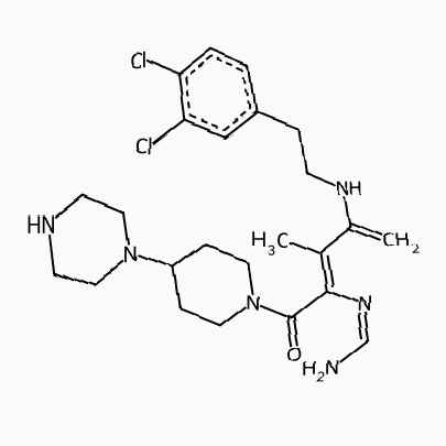 C=C(NCCc1ccc(Cl)c(Cl)c1)/C(C)=C(\N=C/N)C(=O)N1CCC(N2CCNCC2)CC1